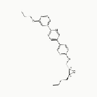 CCCC[C@@H]1O[C@H]1COc1ccc(-c2cnc(-c3cccc(OCCC)c3)nc2)cc1